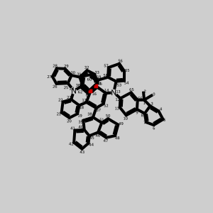 CC1(C)c2ccccc2-c2ccc(N(c3ccc(-c4ccccc4-n4c5ccccc5c5ccccc54)c(-c4cc5ccccc5c5ccccc45)c3)c3ccccc3-c3ccccc3)cc21